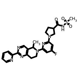 CC1c2cnc(-c3ccccn3)nc2CCN1c1cc(F)cc(N2CCC(C(=O)NS(C)(=O)=O)C2)n1